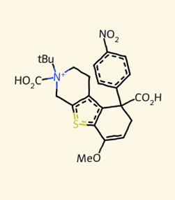 COC1=CCC(C(=O)O)(c2ccc([N+](=O)[O-])cc2)c2c1sc1c2CC[N+](C(=O)O)(C(C)(C)C)C1